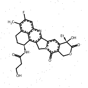 CC[C@@]1(O)C(=O)OCc2c1cc1n(c2=O)Cc2c-1nc1cc(F)c(C)c3c1c2[C@@H](NC(=O)CCO)CC3